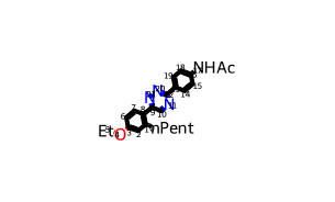 CCCCCc1cc(OCC)ccc1-c1cnc(-c2ccc(NC(C)=O)cc2)nn1